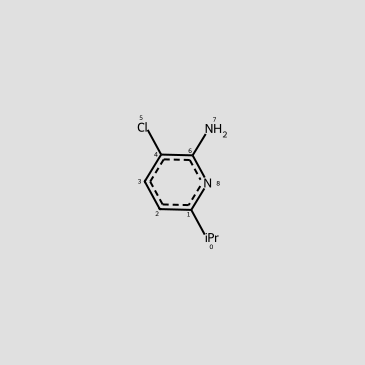 CC(C)c1ccc(Cl)c(N)n1